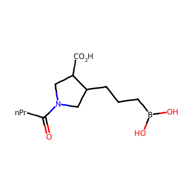 CCCC(=O)N1CC(CCCB(O)O)C(C(=O)O)C1